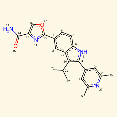 Cc1cc(-c2[nH]c3ccc(-c4nc(C(N)=O)co4)cc3c2C(C)C)cc(C)n1